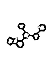 c1ccc(-c2cc(-c3cccc4c3oc3ccccc34)nc(-c3cccc(-c4ccccn4)c3)n2)cc1